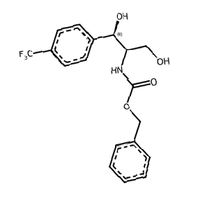 O=C(NC(CO)[C@H](O)c1ccc(C(F)(F)F)cc1)OCc1ccccc1